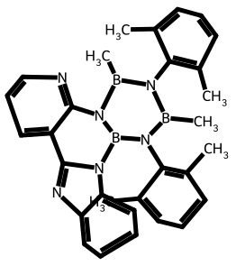 CB1N2B(N(c3c(C)cccc3C)B(C)N1c1c(C)cccc1C)n1c(nc3ccccc31)-c1cccnc12